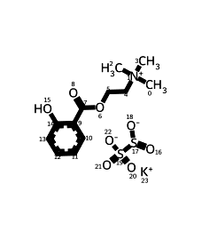 C[N+](C)(C)CCOC(=O)c1ccccc1O.O=S([O-])S(=O)(=O)[O-].[K+]